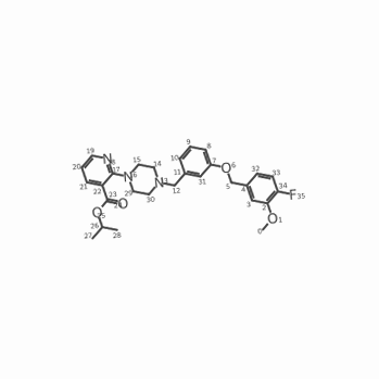 COc1cc(COc2cccc(CN3CCN(c4ncccc4C(=O)OC(C)C)CC3)c2)ccc1F